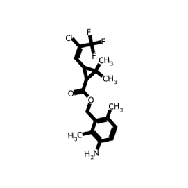 Cc1ccc(N)c(C)c1COC(=O)C1C(/C=C(/Cl)C(F)(F)F)C1(C)C